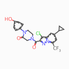 O=C(c1nn2c(C(F)(F)F)cc(C3CC3)cc2c1Cl)N1CCN(c2ccc(O)cc2)C(=O)C1